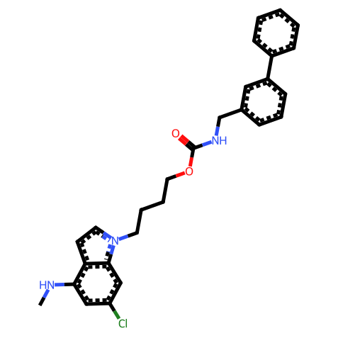 CNc1cc(Cl)cc2c1ccn2CCCCOC(=O)NCc1cccc(-c2ccccc2)c1